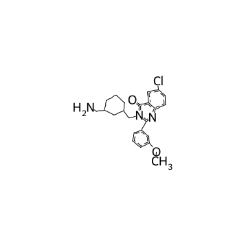 COc1cccc(-c2nc3ccc(Cl)cc3c(=O)n2CC2CCCC(CN)C2)c1